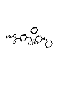 CC(C)(C)OC(=O)c1ccc(CC(=O)[C@H]2NC[C@@H](OC3CCCCC3)C[C@H]2c2ccccc2)cc1